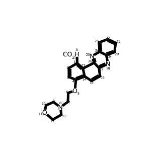 O=C(O)c1ccc(OCCN2CCOCC2)c2ccc3nc4ccccc4nc3c12